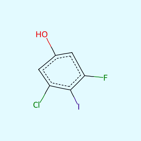 Oc1cc(F)c(I)c(Cl)c1